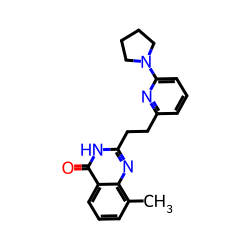 Cc1cccc2c(=O)[nH]c(CCc3cccc(N4CCCC4)n3)nc12